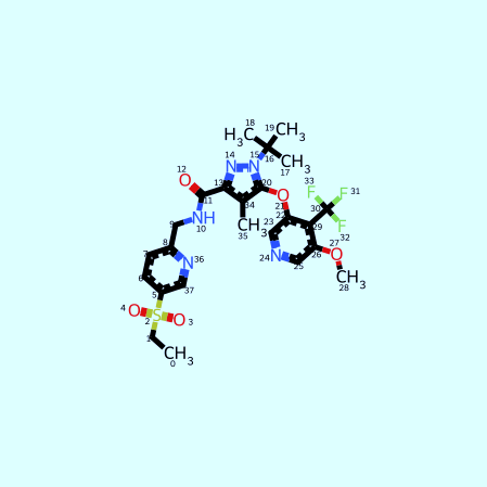 CCS(=O)(=O)c1ccc(CNC(=O)c2nn(C(C)(C)C)c(Oc3cncc(OC)c3C(F)(F)F)c2C)nc1